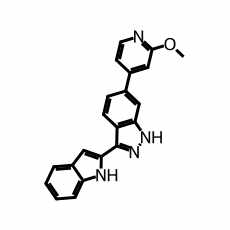 COc1cc(-c2ccc3c(-c4cc5ccccc5[nH]4)n[nH]c3c2)ccn1